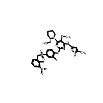 COc1c(Nc2cc(C)[nH]n2)nc(Sc2ccc(S(=O)(=O)Cc3cccc([N+](=O)[O-])c3F)cc2F)nc1N1CCCC[C@@H]1CO